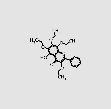 CCOc1c(OCC)c(O)c2c(=O)c(OCC)c(-c3ccccc3)oc2c1OCC